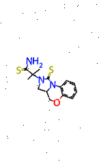 CC(C)(C(N)=S)N1CC2COc3ccccc3N2C1=S